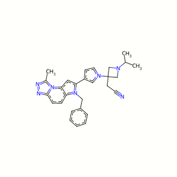 Cc1nnc2ccc3c(cc(-c4ccn(C5(CC#N)CN(C(C)C)C5)c4)n3Cc3ccccc3)n12